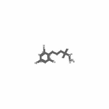 CC(C)(CCCc1c(F)cc(F)cc1F)O[SiH3]